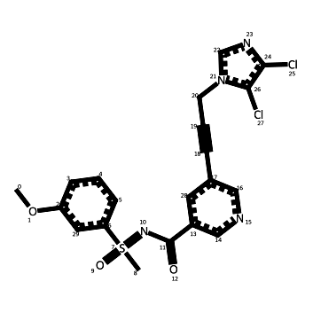 COc1cccc(S(C)(=O)=NC(=O)c2cncc(C#CCn3cnc(Cl)c3Cl)c2)c1